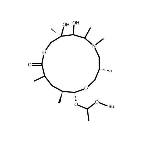 CCC(C)OC(C)O[C@H]1OC[C@@H](C)CN(C)C(C)C(O)[C@](C)(O)COC(=O)C(C)C[C@@H]1C